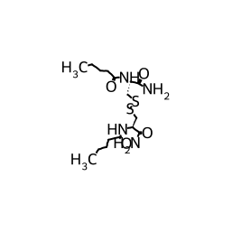 CCCCC(=O)N[C@@H](CSSC[C@H](NC(=O)CCCC)C(N)=O)C(N)=O